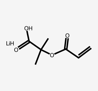 C=CC(=O)OC(C)(C)C(=O)O.[LiH]